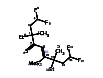 CCC(C)(CC(F)F)C(=S)/C=C(\SC)C(C)(CC)CC(F)F